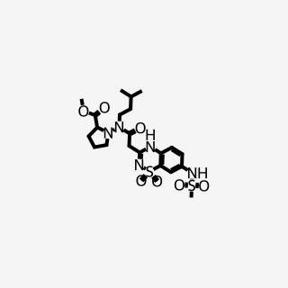 COC(=O)C1CCCN1N(CCC(C)C)C(=O)CC1=NS(=O)(=O)c2cc(NS(C)(=O)=O)ccc2N1